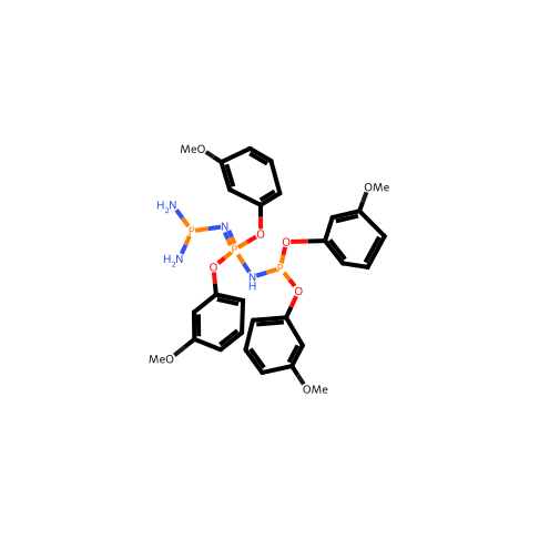 COc1cccc(OP(NP(=NP(N)N)(Oc2cccc(OC)c2)Oc2cccc(OC)c2)Oc2cccc(OC)c2)c1